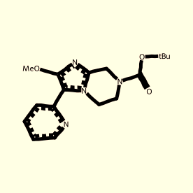 COc1nc2n(c1-c1ccccn1)CCN(C(=O)OC(C)(C)C)C2